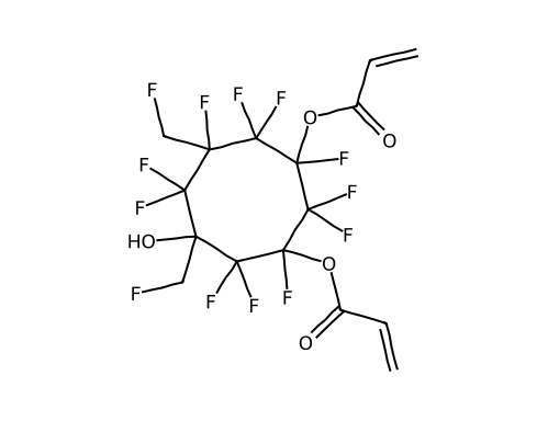 C=CC(=O)OC1(F)C(F)(F)C(O)(CF)C(F)(F)C(F)(CF)C(F)(F)C(F)(OC(=O)C=C)C1(F)F